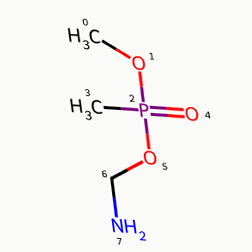 COP(C)(=O)OCN